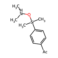 CC(=O)c1ccc([Si](C)(C)O[SiH](C)C)cc1